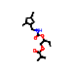 C=C(C)C(=O)OCC(CC)OC(=O)NCC1CC(C)CC1C